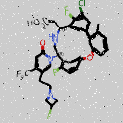 Cc1cccc2c1-c1cc(Cl)c(F)c(c1)[C@H](CC(=O)O)NC[C@H](n1cc(CCN3CC(F)C3)c(C(F)(F)F)cc1=O)c1cc(ccc1F)O2